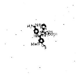 CC(=O)O.COc1cc(C(Nc2ccc(C(=N)N)cc2)c2nn(-c3ncccn3)c(=O)[nH]2)ccc1OCF